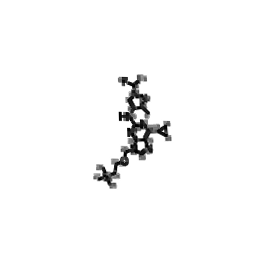 Cc1nn(C(F)F)cc1Nc1nc(C2CC2)c2ncn(COCC[Si](C)(C)C)c2n1